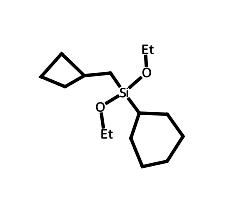 CCO[Si](CC1CCC1)(OCC)C1CCCCC1